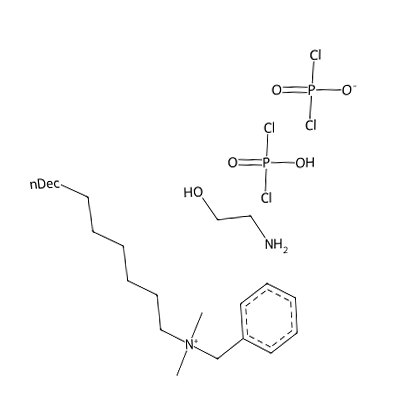 CCCCCCCCCCCCCCCC[N+](C)(C)Cc1ccccc1.NCCO.O=P(O)(Cl)Cl.O=P([O-])(Cl)Cl